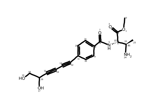 COC(=O)[C@@H](NC(=O)c1ccc(C#CC#CC(O)CO)cc1)[C@@H](C)N